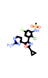 CS(=O)(=O)Nc1cc(F)cc(-c2nc(C3CC3)oc2-c2ccnc(N)n2)c1Cl